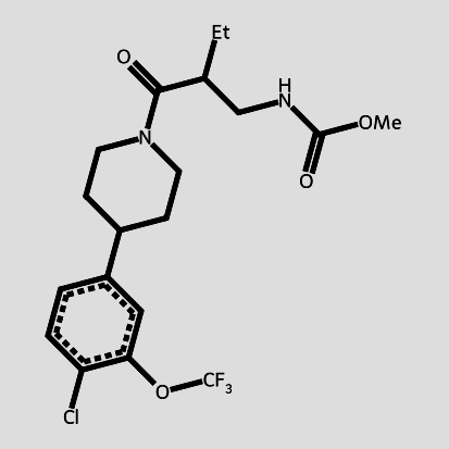 CCC(CNC(=O)OC)C(=O)N1CCC(c2ccc(Cl)c(OC(F)(F)F)c2)CC1